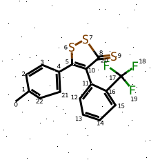 Cc1ccc(-c2ssc(=S)c2-c2ccccc2C(F)(F)F)cc1